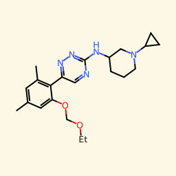 CCOCOc1cc(C)cc(C)c1-c1cnc(NC2CCCN(C3CC3)C2)nn1